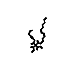 C=CCCC/C=C\C=C/C/C=C\C(=C)C(C(=C)C=C)(C(=C)C=C)C(=C)CC#C/C=C\C